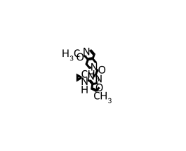 COc1nccc2c1CCN(C(=O)c1nc(NC3(C)CC3)c3cc(C)oc3n1)C2